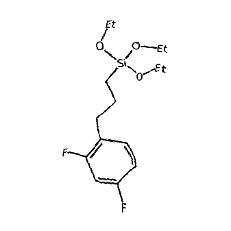 CCO[Si](CCCc1ccc(F)cc1F)(OCC)OCC